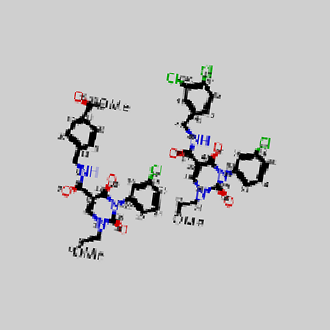 COCCn1cc(C(=O)NCc2ccc(C(=O)OC)cc2)c(=O)n(-c2cccc(Cl)c2)c1=O.COCCn1cc(C(=O)NCc2ccc(Cl)c(Cl)c2)c(=O)n(-c2cccc(Cl)c2)c1=O